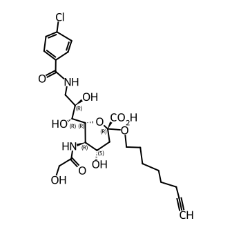 C#CCCCCCCO[C@]1(C(=O)O)C[C@H](O)[C@@H](NC(=O)CO)[C@H]([C@H](O)[C@H](O)CNC(=O)c2ccc(Cl)cc2)O1